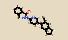 Cc1ccccc1C(=O)Nc1ccc(-c2cc3c(cc2C)CCC3)cn1